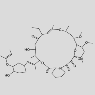 CC=C(C)OC1CC(C=C(C)C2OC(=O)C3CCCCN3C(=O)C(=O)C3(O)OC(C(OC)CC(C)C/C(C)=C/C(CC)C(=O)CC(O)C2C)C(OC)CC3C)CCC1O